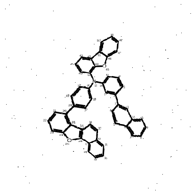 c1cc(-c2ccc3ccccc3c2)cc(N(c2ccc(-c3cccc4oc5c6ccccc6ccc5c34)cc2)c2cccc3c2oc2ccccc23)c1